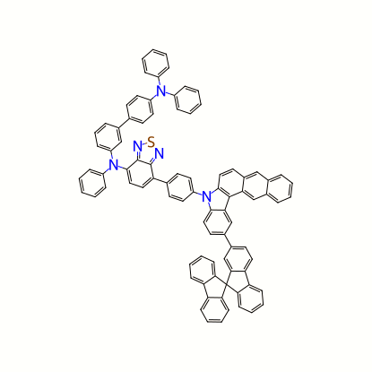 c1ccc(N(c2ccccc2)c2ccc(-c3cccc(N(c4ccccc4)c4ccc(-c5ccc(-n6c7ccc(-c8ccc9c(c8)C8(c%10ccccc%10-c%10ccccc%108)c8ccccc8-9)cc7c7c8cc9ccccc9cc8ccc76)cc5)c5nsnc45)c3)cc2)cc1